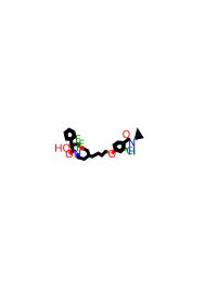 O=C(NC1CC1)c1ccc(OCCCCC2CCN(C(=O)[C@](O)(c3ccccc3)C(F)(F)F)CC2)cc1Cl